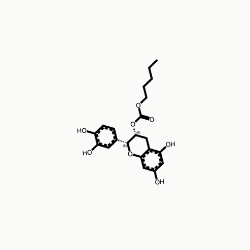 CCCCCOC(=O)O[C@@H]1Cc2c(O)cc(O)cc2O[C@@H]1c1ccc(O)c(O)c1